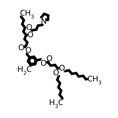 [CH2]c1cc(COC(=O)CCC(CCCCCC)OC(=O)CCCN2CCCC2)cc(COC(=O)CCC(OCCCCCCCC)OCCCCCCCC)c1